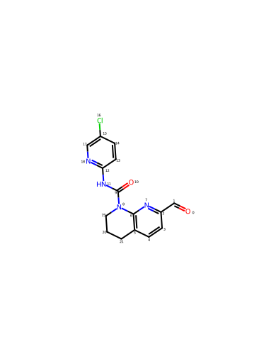 O=Cc1ccc2c(n1)N(C(=O)Nc1ccc(Cl)cn1)CCC2